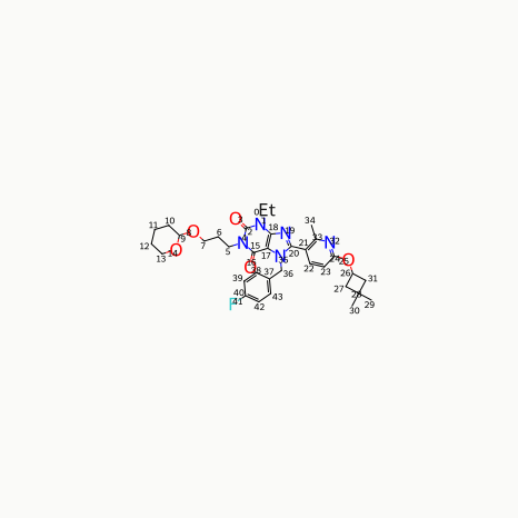 CCn1c(=O)n(CCCOC2CCCCO2)c(=O)c2c1nc(-c1ccc(OC3CC(C)(C)C3)nc1C)n2Cc1ccc(F)cc1